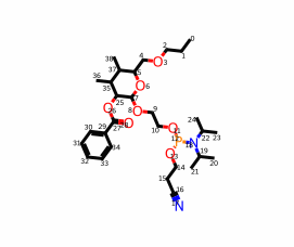 CCCOCC1OC(OCCOP(OCCC#N)N(C(C)C)C(C)C)C(OC(=O)c2ccccc2)C(C)C1C